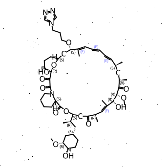 CO[C@@H]1C[C@H](C[C@@H](C)[C@@H]2CC(=O)[C@H](C)/C=C(\C)[C@@H](O)[C@@H](OC)C(=O)[C@H](C)C[C@H](C)/C=C/C=C/C=C(\C)[C@@H](OCCCn3cnnc3)C[C@@H]3CC[C@@H](C)[C@@](O)(O3)C(=O)C(=O)N3CCCC[C@H]3C(=O)O2)CC[C@H]1O